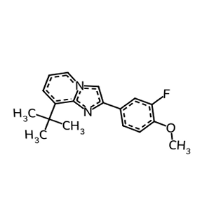 COc1ccc(-c2cn3cccc(C(C)(C)C)c3n2)cc1F